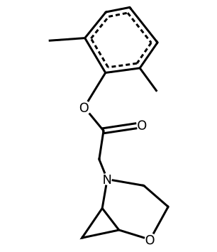 Cc1cccc(C)c1OC(=O)CN1CCOC2CC21